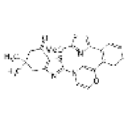 COc1nc(C2=C(C3=CN(c4nc5c(s4)C(=O)CC(C)(C)C5)C=CO3)CCC=C2)cs1